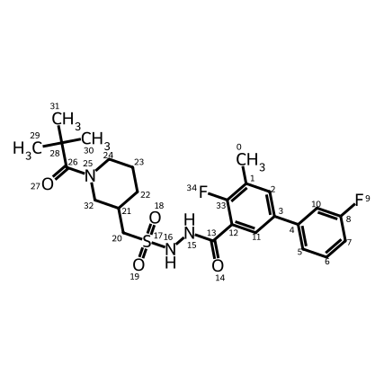 Cc1cc(-c2cccc(F)c2)cc(C(=O)NNS(=O)(=O)CC2CCCN(C(=O)C(C)(C)C)C2)c1F